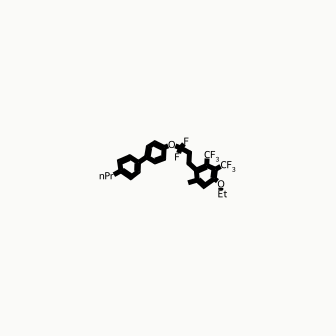 CCCc1ccc(-c2ccc(OC(F)(F)CCc3c(C)cc(OCC)c(C(F)(F)F)c3C(F)(F)F)cc2)cc1